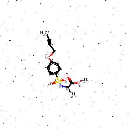 CC#CCOc1ccc(S(=O)(=O)N[C@H](C)C(=O)OC)cc1